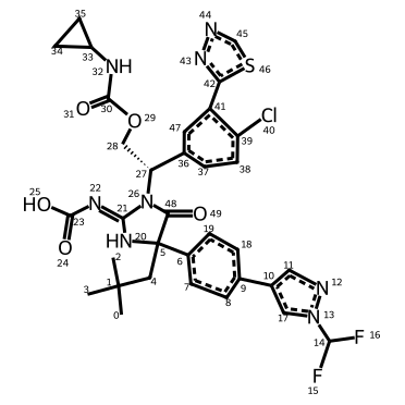 CC(C)(C)CC1(c2ccc(-c3cnn(C(F)F)c3)cc2)NC(=NC(=O)O)N([C@H](COC(=O)NC2CC2)c2ccc(Cl)c(-c3nncs3)c2)C1=O